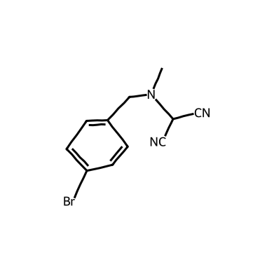 CN(Cc1ccc(Br)cc1)C(C#N)C#N